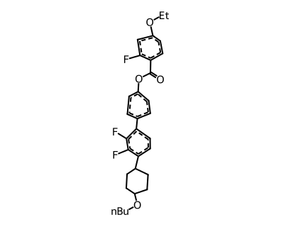 CCCCOC1CCC(c2ccc(-c3ccc(OC(=O)c4ccc(OCC)cc4F)cc3)c(F)c2F)CC1